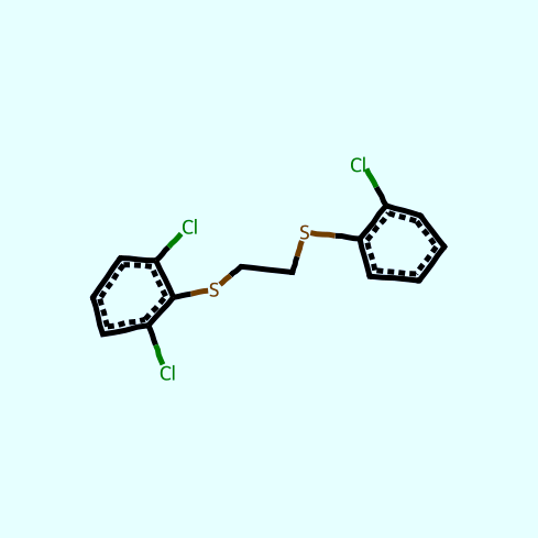 Clc1ccccc1SCCSc1c(Cl)cccc1Cl